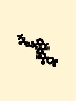 C[C@@H](Nc1ncnc2[nH]c(=O)c(N3CCS(=O)(=O)CC3)cc12)c1cccc(C(F)(F)CC2CN(C(=O)OC(C)(C)C)C2)c1